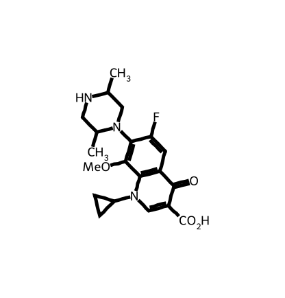 COc1c(N2CC(C)NCC2C)c(F)cc2c(=O)c(C(=O)O)cn(C3CC3)c12